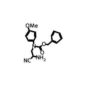 COc1ccc(N(CC(N)C#N)C(=O)OCc2ccccc2)cc1